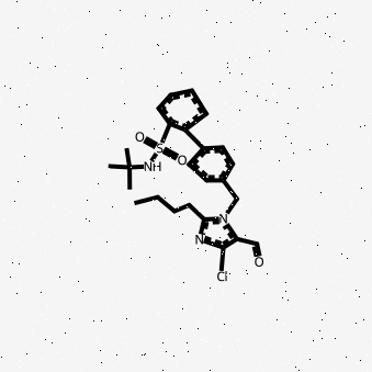 CCCCc1nc(Cl)c(C=O)n1Cc1ccc(-c2ccccc2S(=O)(=O)NC(C)(C)C)cc1